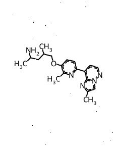 Cc1cn2nccc(-c3ccc(OCC(C)CC(C)N)c(C)n3)c2n1